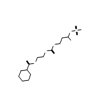 O=C(NCCC(F)OS(=O)(=O)O)OCCOC(=O)C1CCCCC1